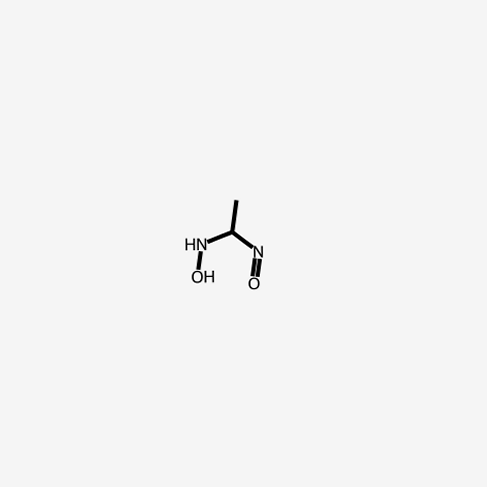 CC(N=O)NO